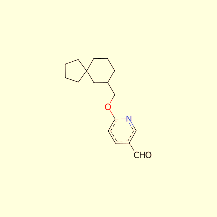 O=Cc1ccc(OCC2CCCC3(CCCC3)C2)nc1